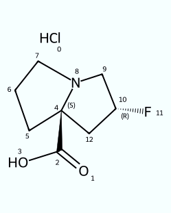 Cl.O=C(O)[C@@]12CCCN1C[C@H](F)C2